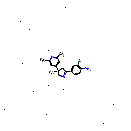 Nc1ccc(C2=NCC(c3cc(C(F)(F)F)nc(C(F)(F)F)c3)(C(F)(F)F)C2)cc1Br